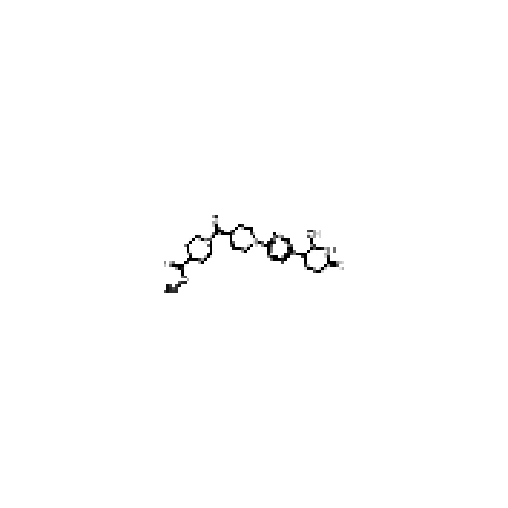 CC(C)(C)OC(=O)C1CCN(C(=O)C2CCN(c3ccc(C4CCC(=O)NC4O)cn3)CC2)CC1